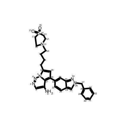 Nc1cnnn2c(CCCCN3CCS(=O)(=O)CC3)cc(-c3ccc4cn(Cc5ccccc5)nc4c3)c12